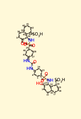 O=C(Nc1ccc(S(=O)(=O)Nc2c(O)ccc3cccc(S(=O)(=O)O)c23)cc1)Nc1ccc(S(=O)(=O)Nc2c(O)ccc3cccc(S(=O)(=O)O)c23)cc1